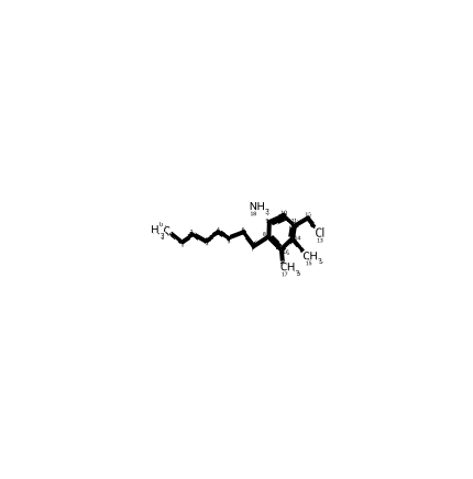 CCCCCCCCc1ccc(CCl)c(C)c1C.N